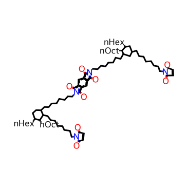 CCCCCCCCC1C(CCCCCC)CC(CCCCCCCCN2C(=O)C=CC2=O)CC1CCCCCCCCn1c(=O)c2cc3c(=O)n(CCCCCCCCC4CCC(CCCCCC)C(CCCCCCCC)C4CCCCCCCCN4C(=O)C=CC4=O)c(=O)c3cc2c1=O